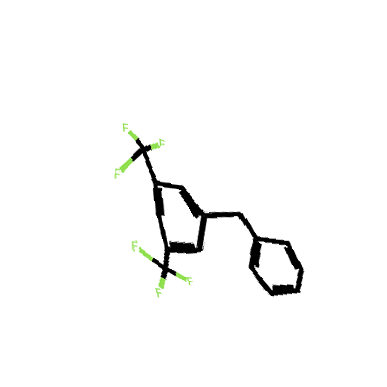 FC(F)(F)c1cc(Cc2ccccc2)cc(C(F)(F)F)c1